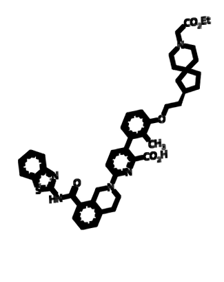 CCOC(=O)CN1CCC2(CC[C@@H](CCOc3cccc(-c4ccc(N5CCc6cccc(C(=O)Nc7nc8ccccc8s7)c6C5)nc4C(=O)O)c3C)C2)CC1